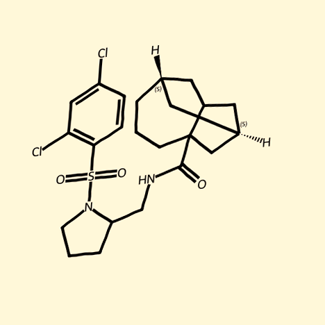 O=C(NCC1CCCN1S(=O)(=O)c1ccc(Cl)cc1Cl)C12CCC[C@@H]3CC1C[C@H](C3)C2